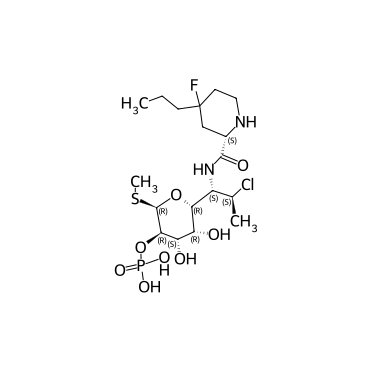 CCCC1(F)CCN[C@H](C(=O)N[C@@H]([C@H]2O[C@H](SC)[C@H](OP(=O)(O)O)[C@@H](O)[C@H]2O)[C@H](C)Cl)C1